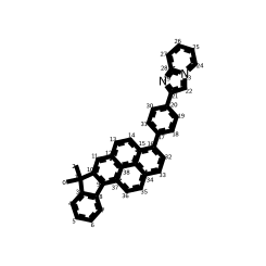 CC1(C)c2ccccc2-c2c1cc1ccc3c(-c4ccc(-c5cn6ccccc6n5)cc4)ccc4ccc2c1c43